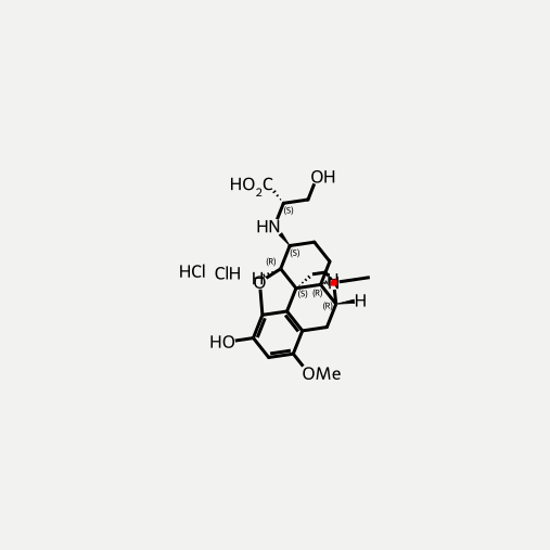 COc1cc(O)c2c3c1C[C@@H]1[C@@H]4CC[C@H](N[C@@H](CO)C(=O)O)[C@H](O2)[C@]34CCN1C.Cl.Cl